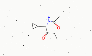 CCC(=O)[C@@H](NC(C)=O)C1CC1